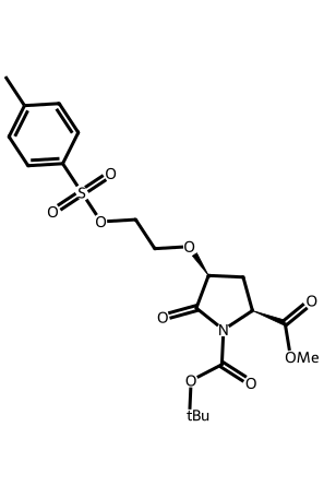 COC(=O)[C@@H]1C[C@H](OCCOS(=O)(=O)c2ccc(C)cc2)C(=O)N1C(=O)OC(C)(C)C